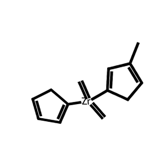 [CH2]=[Zr](=[CH2])([C]1=CC=CC1)[C]1=CC(C)=CC1